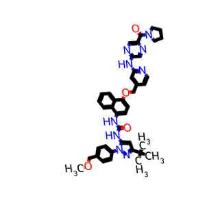 COCc1ccc(-n2nc(C(C)(C)C)cc2NC(=O)Nc2ccc(OCc3ccnc(Nc4cnc(C(=O)N5CCCC5)cn4)c3)c3ccccc23)cc1